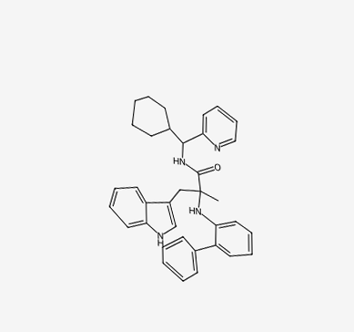 CC(Cc1c[nH]c2ccccc12)(Nc1ccccc1-c1ccccc1)C(=O)NC(c1ccccn1)C1CCCCC1